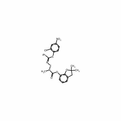 CC(C)C(=NSN(C)C(=O)Oc1cccc2c1OC(C)(C)C2)Sc1ccc([N+](=O)[O-])cc1Cl